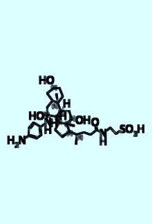 C[C@H](CCC(=O)NCCS(=O)(=O)O)[C@H]1CC[C@H]2[C@H]3[C@H](C[C@H](O)[C@]12C)[C@@]1(C)CC[C@@H](O)CC1C[C@]3(O)Nc1ccc(N)cc1